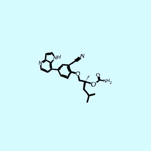 CC(C)C[C@@](C)(COc1ccc(-c2ccnc3cc[nH]c23)cc1C#N)OC(N)=O